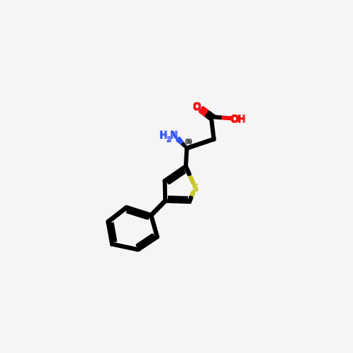 N[C@@H](CC(=O)O)c1cc(-c2ccccc2)cs1